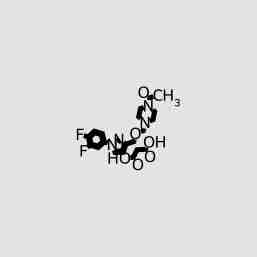 CC(=O)N1CCN(COCc2ccn(-c3ccc(F)c(F)c3)n2)CC1.O=C(O)CC(=O)O